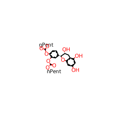 CCCCCOC(=O)Oc1ccc([C@H]2Oc3cc(O)cc(O)c3C[C@H]2O)cc1OC(=O)OCCCCC